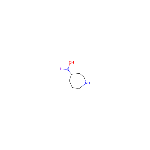 ON(I)C1CCCNCC1